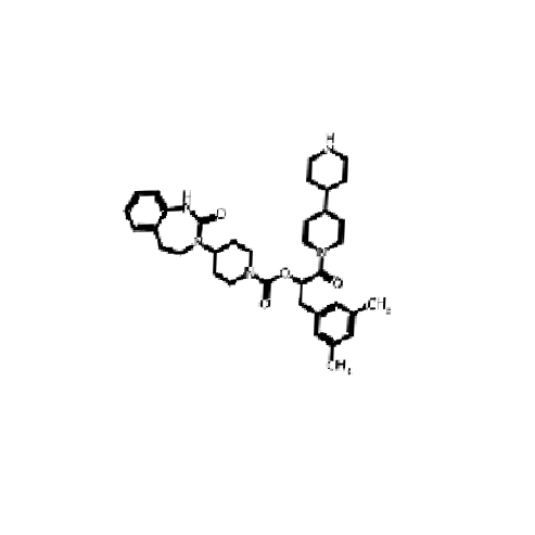 Cc1cc(C)cc(C[C@@H](OC(=O)N2CCC(N3CCc4ccccc4NC3=O)CC2)C(=O)N2CCC(C3CCNCC3)CC2)c1